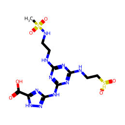 CS(=O)(=O)NCCNc1nc(NCC[SH](=O)=O)nc(Nc2n[nH]c(C(=O)O)n2)n1